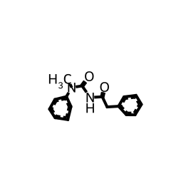 CN(C(=O)NC(=O)Cc1ccccc1)c1ccccc1